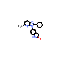 O=C1Cc2cc(-n3c(C4CCCCC4)nc4ccc(C(F)(F)F)nc43)ccc2N1